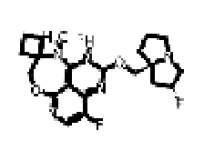 [2H]N1C2=c3c(ncc(F)c3=NC1OC[C@@]13CCCN1C[C@H](F)C3)OCC1(CCC1)N2C